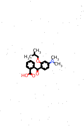 CC(C)COc1cc(N(C)C)ccc1C(=O)c1ccccc1C(=O)O